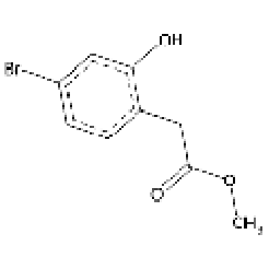 COC(=O)Cc1ccc(Br)cc1O